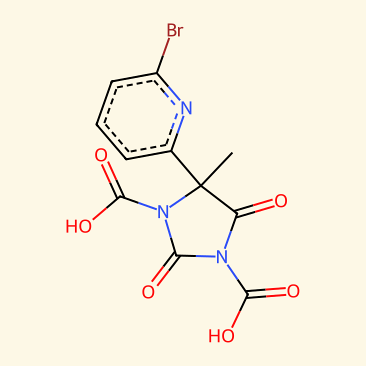 CC1(c2cccc(Br)n2)C(=O)N(C(=O)O)C(=O)N1C(=O)O